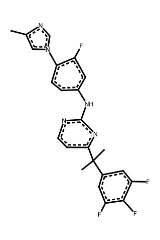 Cc1cn(-c2ccc(Nc3nccc(C(C)(C)c4cc(F)c(F)c(F)c4)n3)cc2F)cn1